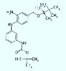 CC(C)(C)OC(=O)Nc1cccc(Nc2ccc(CO[Si](C)(C)C(C)(C)C)cc2N)c1